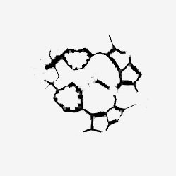 CC1=[C]([Hf+2]([C]2=C(C)C=C3SC(C)C(c4ccc(C(C)(C)C)cc4)=C32)=[Si](C)C)C2=C(c3ccc(C(C)(C)C)cc3)C(C)SC2=C1.[Cl-].[Cl-]